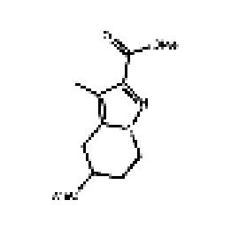 COC(=O)c1nn2c(c1I)CC(OC)CC2